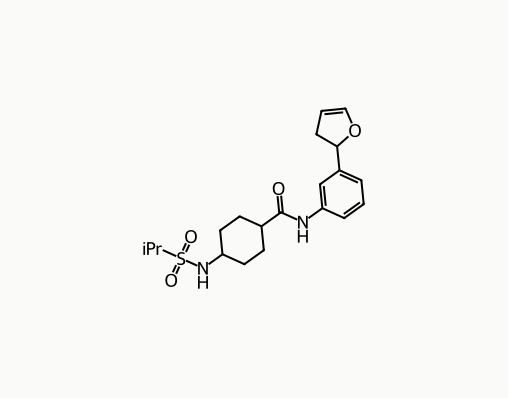 CC(C)S(=O)(=O)NC1CCC(C(=O)Nc2cccc(C3CC=CO3)c2)CC1